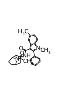 CC(=O)N1C2CCC1CC(NC(=O)c1c(-c3ccccc3)n(C)c3ccc(C)cc13)C2